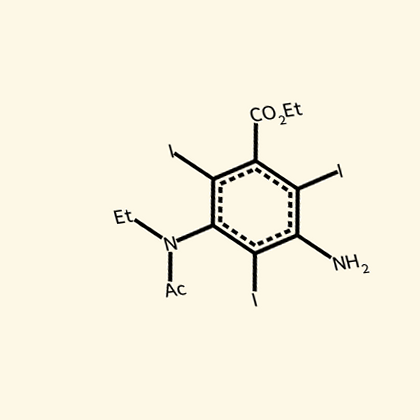 CCOC(=O)c1c(I)c(N)c(I)c(N(CC)C(C)=O)c1I